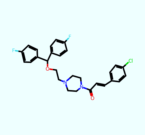 O=C(C=Cc1ccc(Cl)cc1)N1CCN(CCOC(c2ccc(F)cc2)c2ccc(F)cc2)CC1